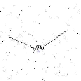 CCCCCCCCCCCCCCCCCOC(=O)/C=C\C(=O)OCCCCCCCCCCCCCCCCC